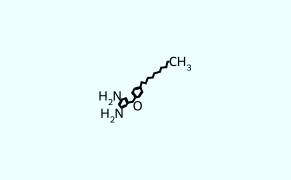 CCCCCCCCCCc1ccc(C(=O)c2cc(N)cc(N)c2)cc1